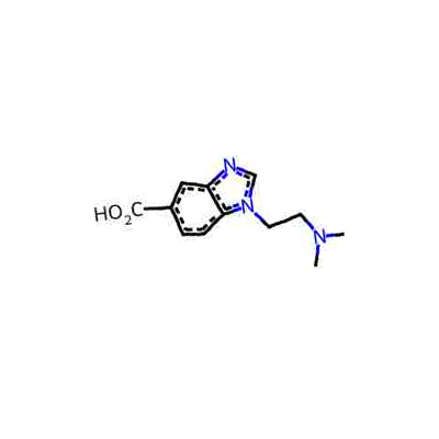 CN(C)CCn1cnc2cc(C(=O)O)ccc21